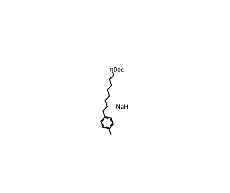 CCCCCCCCCCCCCCCCCCc1ccc(C)cc1.[NaH]